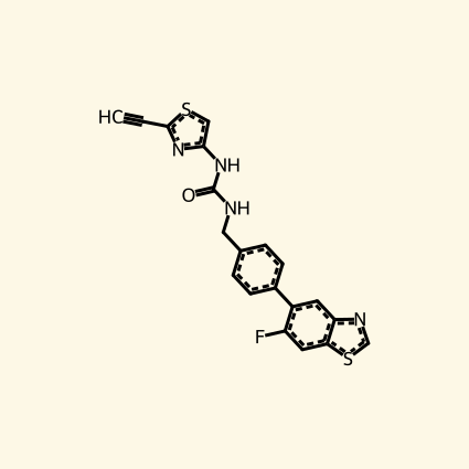 C#Cc1nc(NC(=O)NCc2ccc(-c3cc4ncsc4cc3F)cc2)cs1